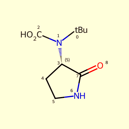 CC(C)(C)N(C(=O)O)[C@H]1CCNC1=O